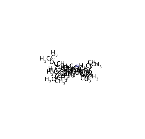 CC(C)OCCC(C)(C)OC(C(C)(C)C(C)(C)CC(C)(C)C)C(C)(C)C(C)(C)CC(C)(C)C(C)(C)/C=C\C(C)(C)C(C)(C)CC(C)(C)C(=O)C(C)(C)OCCC(C)(C)C